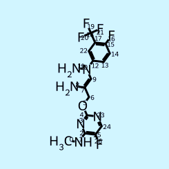 CNc1nc(OC/C(N)=C/N(N)c2ccc(F)c(C(F)(F)F)c2)ncc1F